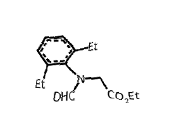 CCOC(=O)CN(C=O)c1c(CC)cccc1CC